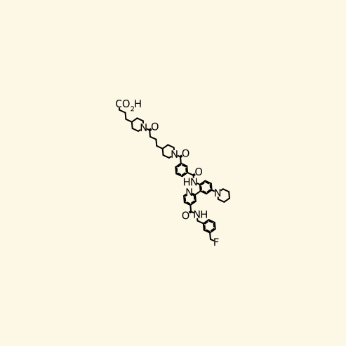 O=C(O)CCCC1CCN(C(=O)CCCC2CCN(C(=O)c3cccc(C(=O)Nc4ccc(N5CCCCC5)cc4-c4cc(C(=O)NCc5cccc(CF)c5)ccn4)c3)CC2)CC1